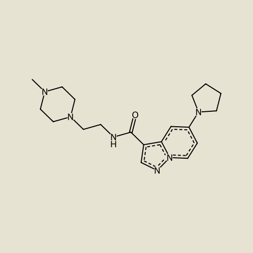 CN1CCN(CCNC(=O)c2cnn3ccc(N4CCCC4)cc23)CC1